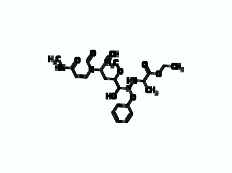 C#CC(CC(OC)C(O)P(NC(C)C(=O)OCC)Oc1ccccc1)N(C=O)/C=C\C(=O)NC